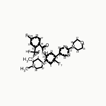 C[C@@H]1CN(c2cc(F)c(-c3cnc(N4CCOCC4)nc3)cc2NC(=O)c2ccc(F)cc2C(F)(F)F)CCN1C